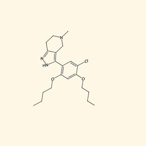 CCCCOc1cc(OCCCC)c(-c2[nH]nc3c2CN(C)CC3)cc1Cl